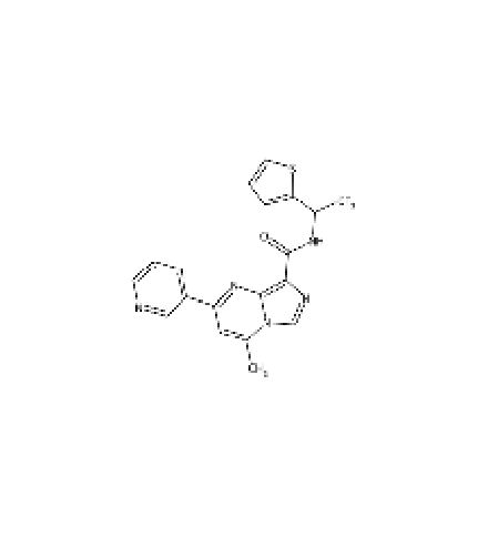 Cc1cc(-c2cccnc2)nc2c(C(=O)NC(c3cccs3)C(F)(F)F)ncn12